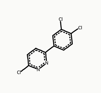 Clc1ccc(-c2ccc(Cl)c(Cl)c2)nn1